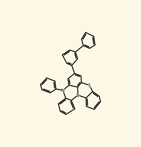 c1ccc(-c2cccc(-c3cc4c5c(c3)N(c3ccccc3)c3ccccc3B5c3ccccc3S4)c2)cc1